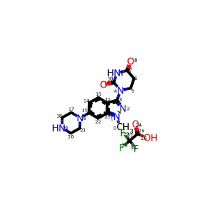 Cn1nc(N2CCC(=O)NC2=O)c2ccc(N3CCNCC3)cc21.O=C(O)C(F)(F)F